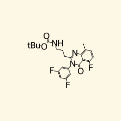 Cc1ccc(F)c2c(=O)n(-c3cc(F)cc(F)c3)c(CCCNC(=O)OC(C)(C)C)nc12